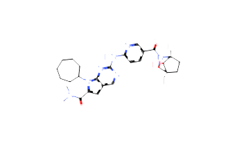 CN(C)C(=O)c1cc2cnc(Nc3ccc(C(=O)N4C[C@H]5CC[C@@H]4[C@@H]5O)cn3)nc2n1C1CCCCCC1